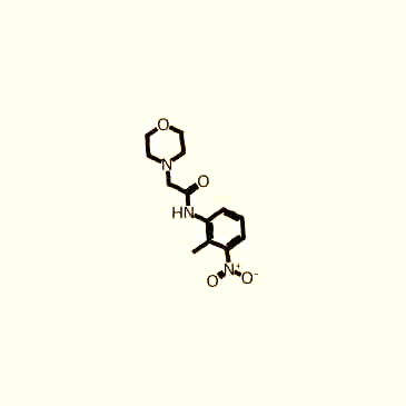 Cc1c(NC(=O)CN2CCOCC2)cccc1[N+](=O)[O-]